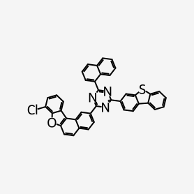 Clc1cccc2c1oc1ccc3ccc(-c4nc(-c5ccc6c(c5)sc5ccccc56)nc(-c5cccc6ccccc56)n4)cc3c12